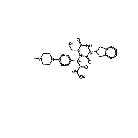 CC(C)C[C@@H]1C(=O)N[C@H](C2Cc3ccccc3C2)C(=O)N1[C@@H](C(=O)NC(C)(C)C)c1ccc(N2CCN(C)CC2)cc1